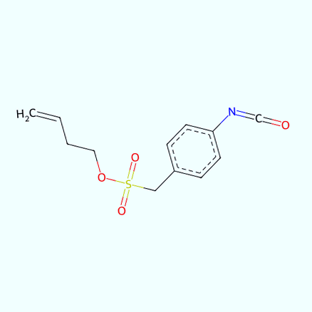 C=CCCOS(=O)(=O)Cc1ccc(N=C=O)cc1